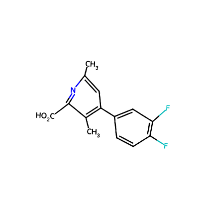 Cc1cc(-c2ccc(F)c(F)c2)c(C)c(C(=O)O)n1